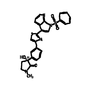 CN1CC[C@@](O)(c2cccc(-c3csc(-c4cn(S(=O)(=O)c5ccccc5)c5ncccc45)n3)c2)C1=O